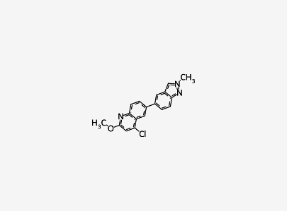 COc1cc(Cl)c2cc(-c3ccc4nn(C)cc4c3)ccc2n1